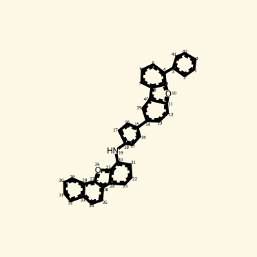 c1ccc(-c2cccc3c2oc2ccc(-c4ccc(Nc5cccc6c5oc5c7ccccc7ccc65)cc4)cc23)cc1